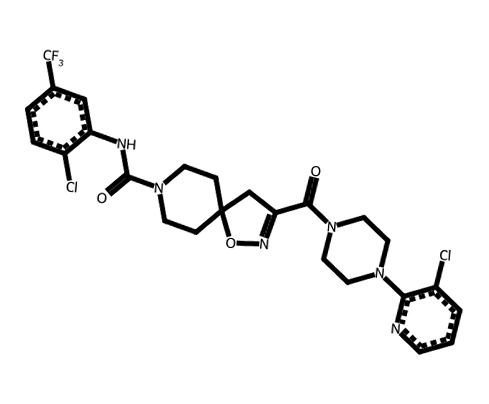 O=C(Nc1cc(C(F)(F)F)ccc1Cl)N1CCC2(CC1)CC(C(=O)N1CCN(c3ncccc3Cl)CC1)=NO2